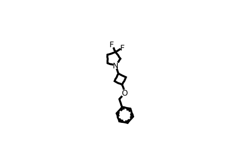 FC1(F)CCN(C2CC(OCc3ccccc3)C2)C1